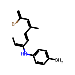 Bc1ccc(NC(/C=C/C(C)=C\C(=C)Br)=C/C)cc1